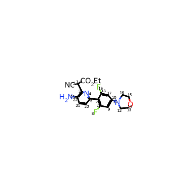 CCOC(=O)C(C#N)c1nc(-c2c(F)cc(N3CCOCC3)cc2F)ccc1N